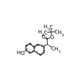 C[C@H](C(=O)OC(C)(C)C)c1ccc2cc(O)ccc2c1